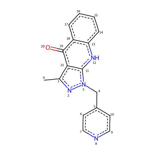 Cc1nn(Cc2ccncc2)c2[nH]c3ccccc3c(=O)c12